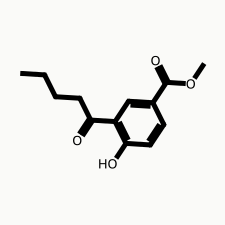 CCCCC(=O)c1cc(C(=O)OC)ccc1O